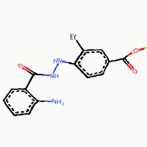 CCc1cc(C(=O)OF)ccc1NNC(=O)c1ccccc1N